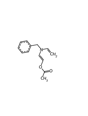 C=CN(C=COC(C)=O)Cc1ccccc1